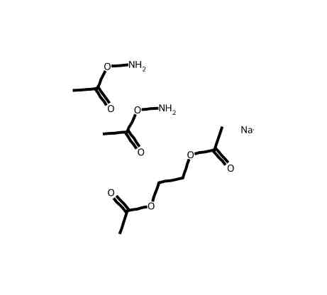 CC(=O)OCCOC(C)=O.CC(=O)ON.CC(=O)ON.[Na]